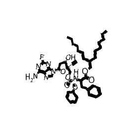 C#C[C@]1(CO[P@@](=O)(NC(Cc2ccccc2)C(=O)OCC(CCCCCCC)CCCCCCC)Oc2ccccc2)O[C@@H](n2cnc3c(N)nc(F)nc32)C[C@@H]1O